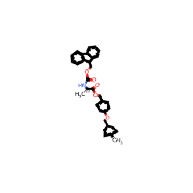 Cc1ccc(COc2ccc(COC(=O)[C@H](C)NC(=O)OCC3c4ccccc4-c4ccccc43)cc2)cc1